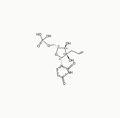 C=CC[C@@]1(O)[C@H](O)[C@@H](COP(=O)(O)O)O[C@H]1n1ccc(=O)[nH]c1=O